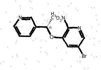 C[C@H](Oc1cc(Br)cnc1[N+](=O)[O-])c1cccnc1